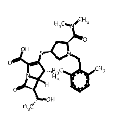 Cc1cccc(C)c1CN1C[C@@H](SC2=C(C(=O)O)N3C(=O)[C@H]([C@@H](C)O)[C@H]3[C@H]2C)C[C@H]1C(=O)N(C)C